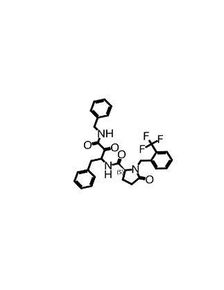 O=C(NCc1ccccc1)C(=O)C(Cc1ccccc1)NC(=O)[C@@H]1CCC(=O)N1Cc1ccccc1C(F)(F)F